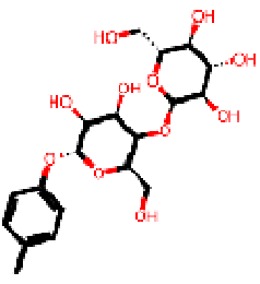 Cc1ccc(O[C@H]2O[C@H](CO)C(O[C@H]3O[C@H](CO)[C@@H](O)[C@H](O)[C@H]3O)[C@H](O)[C@@H]2O)cc1